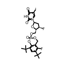 CC(C)(C)c1cc(C(C)(C)C)c2c(c1F)COP(=O)(OC[C@H]1O[C@@H](n3cc(I)c(=O)[nH]c3=O)C[C@H]1F)O2